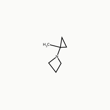 CC1(N2CCC2)CC1